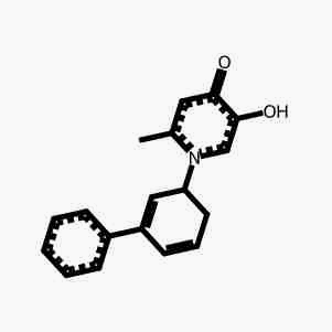 Cc1cc(=O)c(O)cn1C1C=C(c2ccccc2)C=CC1